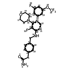 NC(=O)Cc1ccc(CNc2ncnc(N3CCOC[C@@H]3c3ccc(OC(F)(F)F)cc3F)c2F)cc1